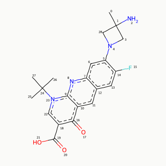 CC1(N)CN(c2cc3nc4c(cc3cc2F)c(=O)c(C(=O)O)cn4C(C)(C)C)C1